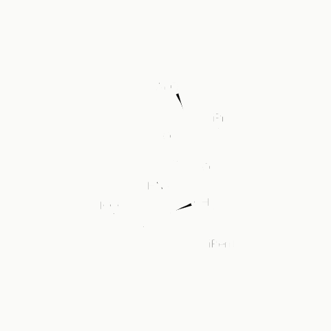 CCCC(C)C[C@](C)(CC(=O)O)NC(=O)O[C@@H](OC(C)=O)C(C)C